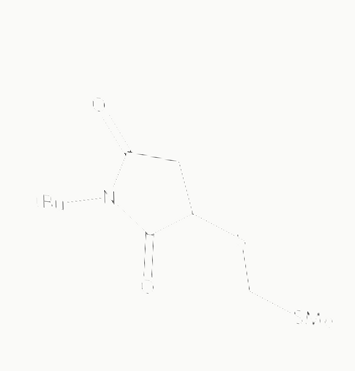 CSCSC1CC(=O)N(C(C)(C)C)C1=O